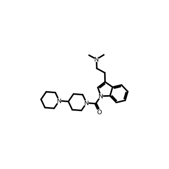 CN(C)CCc1cn(C(=O)N2CCC(N3CCCCC3)CC2)c2ccccc12